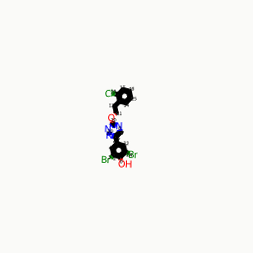 Oc1c(Br)cc(-c2cnc(OCCc3ccccc3Cl)nn2)cc1Br